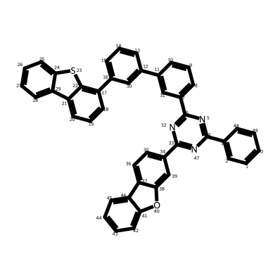 c1ccc(-c2nc(-c3cccc(-c4cccc(-c5cccc6c5sc5ccccc56)c4)c3)nc(-c3ccc4c(c3)oc3ccccc34)n2)cc1